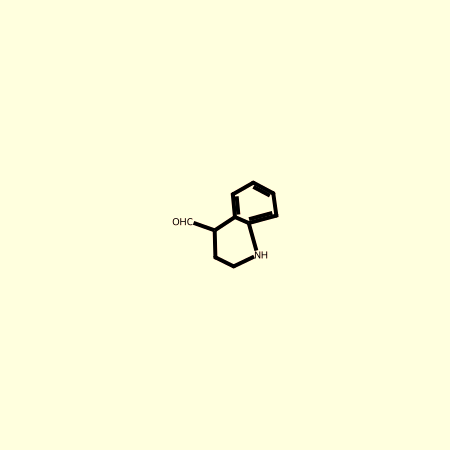 O=CC1CCNc2ccccc21